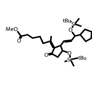 COC(=O)CCCCC(C)=C1C(=O)CC(O[Si](C)(C)C(C)(C)C)C1C=CC(O[Si](C)(C)C(C)(C)C)C1CCCC1